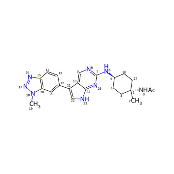 CC(=O)N[C@]1(C)CC[C@@H](Nc2ncc3c(-c4ccc5nnn(C)c5c4)c[nH]c3n2)CC1